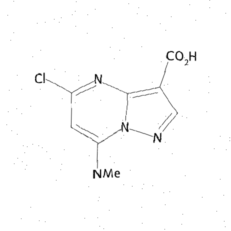 CNc1cc(Cl)nc2c(C(=O)O)cnn12